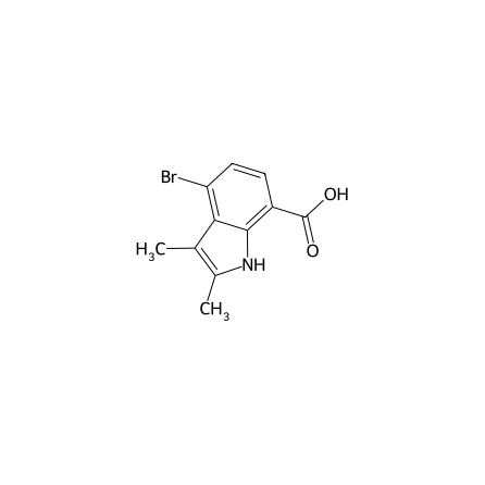 Cc1[nH]c2c(C(=O)O)ccc(Br)c2c1C